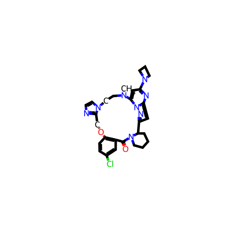 CN1CCn2ccnc2COc2ccc(Cl)cc2C(=O)N2CCCCC2c2cc3nc(N4CCC4)cc1n3n2